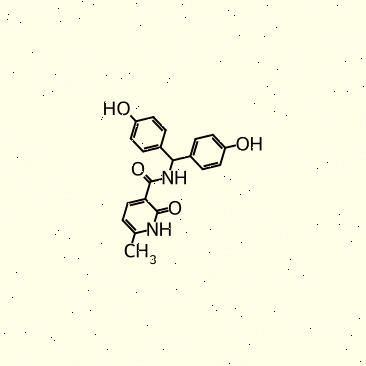 Cc1ccc(C(=O)NC(c2ccc(O)cc2)c2ccc(O)cc2)c(=O)[nH]1